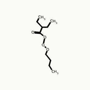 CCCCOOOC(=O)C(CC)CC